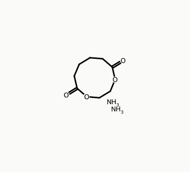 N.N.O=C1CCCCC(=O)OCCO1